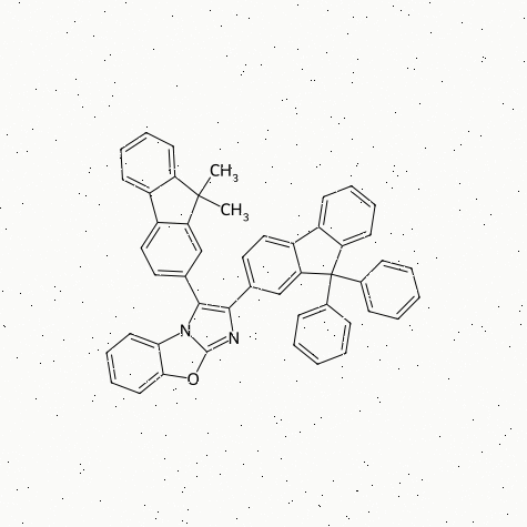 CC1(C)c2ccccc2-c2ccc(-c3c(-c4ccc5c(c4)C(c4ccccc4)(c4ccccc4)c4ccccc4-5)nc4oc5ccccc5n34)cc21